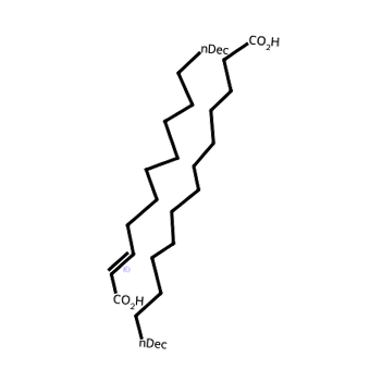 CCCCCCCCCCCCCCCCC/C=C/C(=O)O.CCCCCCCCCCCCCCCCCCCCCC(=O)O